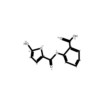 O=C(Oc1ccccc1C(=O)O)c1ccc(O)o1